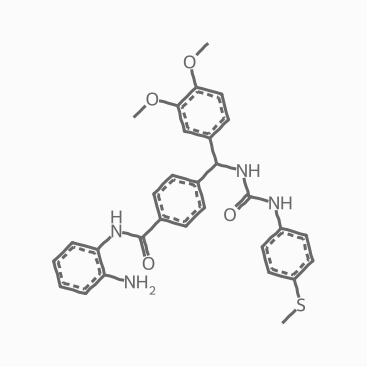 COc1ccc(C(NC(=O)Nc2ccc(SC)cc2)c2ccc(C(=O)Nc3ccccc3N)cc2)cc1OC